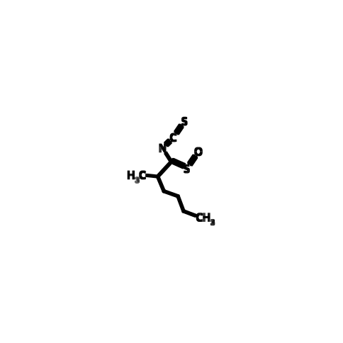 CCCCC(C)C(N=C=S)=S=O